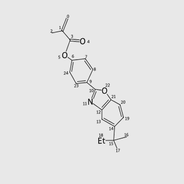 C=C(C)C(=O)Oc1ccc(-c2nc3cc(C(C)(C)CC)ccc3o2)cc1